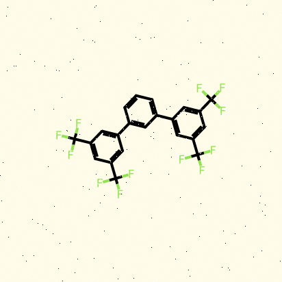 FC(F)(F)c1cc(-c2cccc(-c3cc(C(F)(F)F)cc(C(F)(F)F)c3)c2)cc(C(F)(F)F)c1